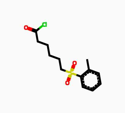 Cc1ccccc1S(=O)(=O)CCCCCC(=O)Cl